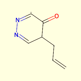 C=CCC1C=NN=[C]C1=O